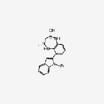 CCCn1c(-c2cccc3c2N[C@H](C)C[C@H](O)N3)cc2ccccc21